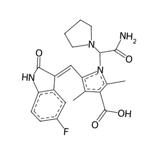 Cc1c(C(=O)O)c(C)n(C(C(N)=O)N2CCCC2)c1C=C1C(=O)Nc2ccc(F)cc21